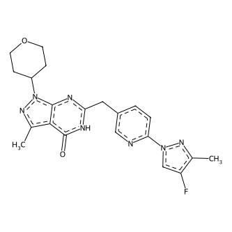 Cc1nn(-c2ccc(Cc3nc4c(c(C)nn4C4CCOCC4)c(=O)[nH]3)cn2)cc1F